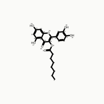 CCCCCCCC(=O)Oc1c(-c2ccc(O)c(O)c2)oc2cc(O)cc(O)c2c1=O